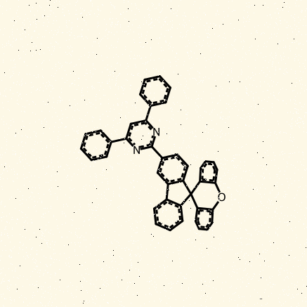 c1ccc(-c2cc(-c3ccccc3)nc(-c3ccc4c(c3)-c3ccccc3C43c4ccccc4Oc4ccccc43)n2)cc1